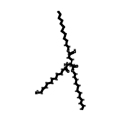 CCCCCCCCCCCCOC(=O)CC[C@H](NC(=O)CCCCCCCCCCBr)C(=O)OCCCCCCCCCCCC